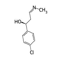 C/N=C\C[C@H](O)c1ccc(Cl)cc1